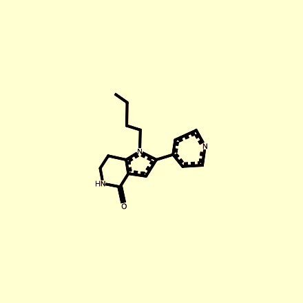 CCCCn1c(-c2ccncc2)cc2c1CCNC2=O